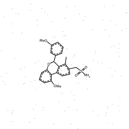 COc1cccc(C2Oc3cccc(OC)c3-c3ccc(CS(N)(=O)=O)c(C)c32)c1